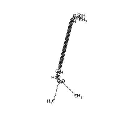 CCCCCCCCCCCCCCCCCC(=O)OCC(COP(=O)(O)OCCNC(=O)OCCOOOOOOOOOOOOOOOOOOOOOOOOOOOOOOOOOOOOOOOOOOOO/C=C\NC(=O)CC[C@H](NC(C)=O)C(=O)O)OC(=O)CCCCCCCCCCCCCCCCC